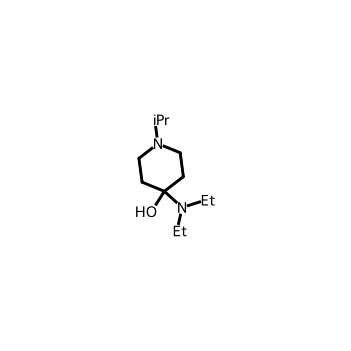 CCN(CC)C1(O)CCN(C(C)C)CC1